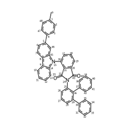 Cc1ccc(-c2ccc3c4ccccc4n(-c4cccc5c4C(=O)N(c4cccc(-c6ccccc6)c4-c4ccccc4)C5=O)c3c2)cc1